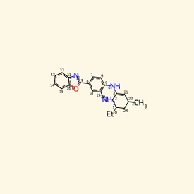 CCC1CC(Nc2ccc(-c3nc4ccccc4o3)cc2N)=CC(C)C1